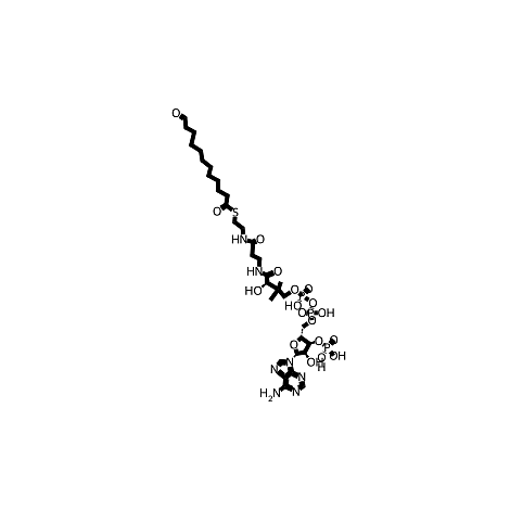 CC(C)(COP(=O)(O)OP(=O)(O)OC[C@H]1O[C@@H](n2cnc3c(N)ncnc32)[C@H](O)[C@@H]1OP(=O)(O)O)[C@@H](O)C(=O)NCCC(=O)NCCSC(=O)CCCCCCCCCCC=O